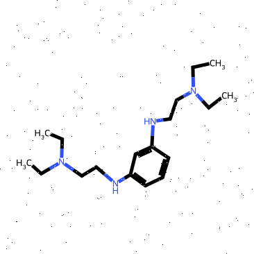 CCN(CC)CCNc1cccc(NCCN(CC)CC)c1